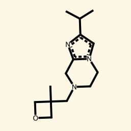 CC(C)c1cn2c(n1)CN(CC1(C)COC1)CC2